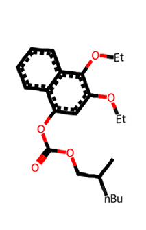 CCCCC(C)COC(=O)Oc1cc(OCC)c(OCC)c2ccccc12